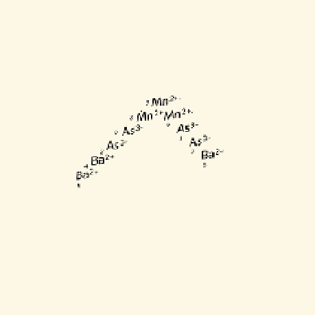 [As-3].[As-3].[As-3].[As-3].[Ba+2].[Ba+2].[Ba+2].[Mn+2].[Mn+2].[Mn+2]